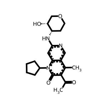 CC(=O)c1c(C)c2cnc(N[C@H]3CCOC[C@H]3O)cc2n(C2CCCC2)c1=O